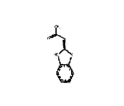 O=C(/C=C1\Nc2ccccc2S1)C(F)(F)F